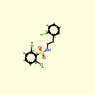 O=S(=O)(NCCc1ccccc1F)c1c(Cl)cccc1Cl